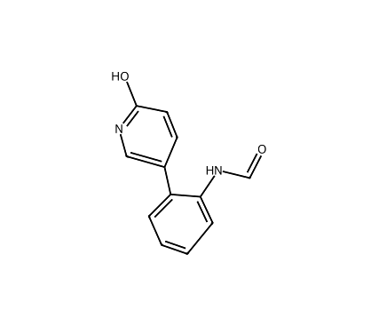 O=CNc1ccccc1-c1ccc(O)nc1